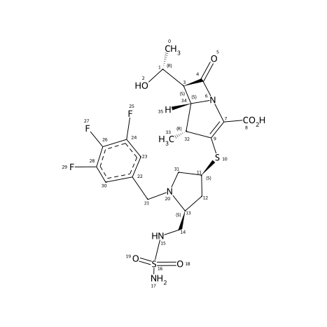 C[C@@H](O)[C@H]1C(=O)N2C(C(=O)O)=C(S[C@H]3C[C@@H](CNS(N)(=O)=O)N(Cc4cc(F)c(F)c(F)c4)C3)[C@H](C)[C@H]12